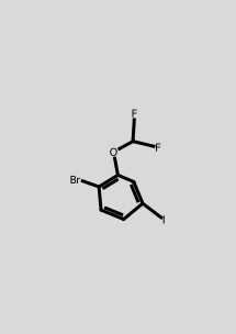 FC(F)Oc1cc(I)ccc1Br